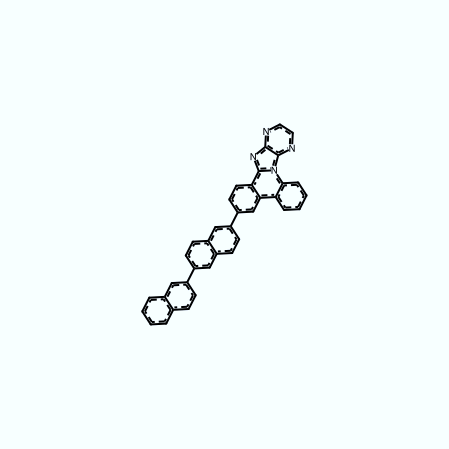 c1ccc2cc(-c3ccc4cc(-c5ccc6c(c5)c5ccccc5n5c7nccnc7nc65)ccc4c3)ccc2c1